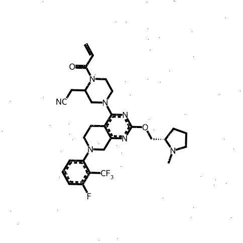 C=CC(=O)N1CCN(c2nc(OC[C@@H]3CCCN3C)nc3c2CCN(c2cccc(F)c2C(F)(F)F)C3)CC1CC#N